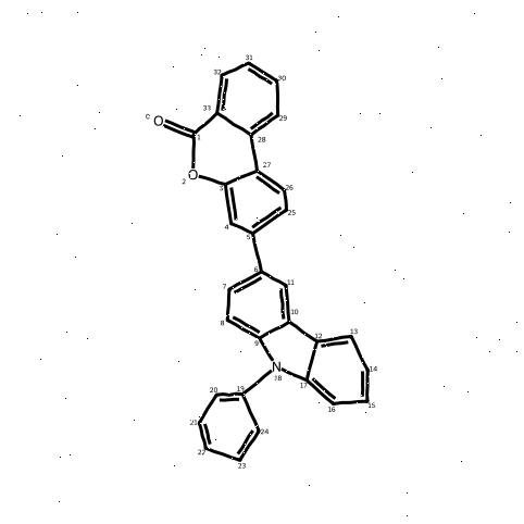 O=c1oc2cc(-c3ccc4c(c3)c3ccccc3n4-c3ccccc3)ccc2c2ccccc12